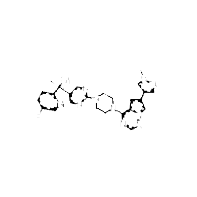 Cn1cc(-c2cc3c(N4CCN(c5ncc([C@@](C)(O)c6ccc(F)cn6)cn5)CC4)ncnn3c2)cn1